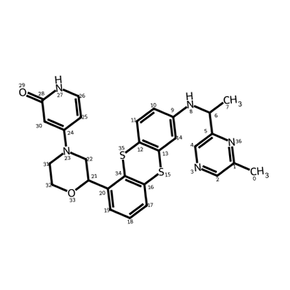 Cc1cncc(C(C)Nc2ccc3c(c2)Sc2cccc(C4CN(c5cc[nH]c(=O)c5)CCO4)c2S3)n1